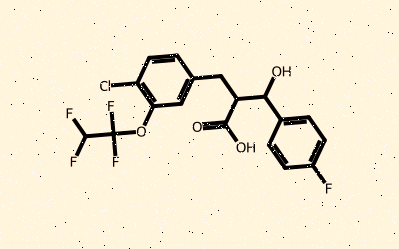 O=C(O)C(Cc1ccc(Cl)c(OC(F)(F)C(F)F)c1)C(O)c1ccc(F)cc1